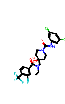 CCN(CC1(O)CCN(C(=O)Nc2cc(Cl)cc(Cl)c2)CC1)C(=O)c1ccc(C(F)(F)F)c(F)c1